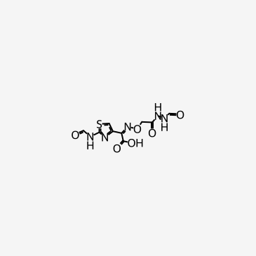 O=CNNC(=O)CON=C(C(=O)O)c1csc(NC=O)n1